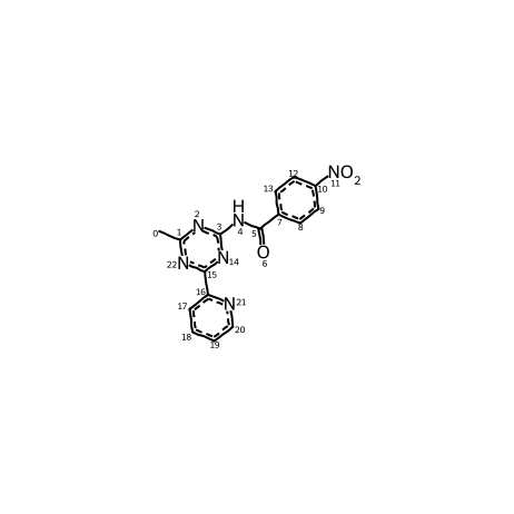 Cc1nc(NC(=O)c2ccc([N+](=O)[O-])cc2)nc(-c2ccccn2)n1